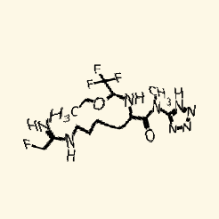 CCOC(NC(CCCCNC(=N)CF)C(=O)N(C)c1nnn[nH]1)C(F)(F)F